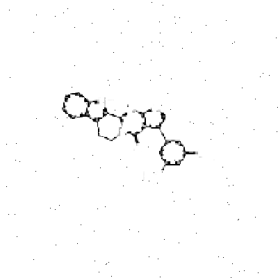 O=c1c2c(-c3cc(C(F)(F)F)cc(C(F)(F)F)c3)csc2nc2n1CCc1c-2[nH]c2ccccc12